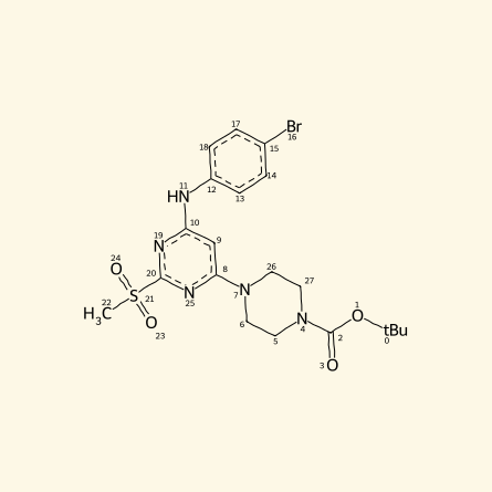 CC(C)(C)OC(=O)N1CCN(c2cc(Nc3ccc(Br)cc3)nc(S(C)(=O)=O)n2)CC1